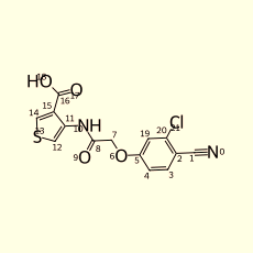 N#Cc1ccc(OCC(=O)Nc2cscc2C(=O)O)cc1Cl